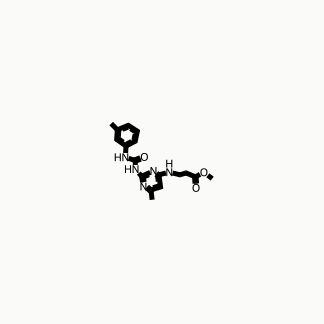 COC(=O)CCNc1cc(C)nc(NC(=O)Nc2cccc(C)c2)n1